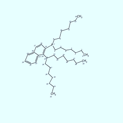 CCCCCCCP(CCCCCCC)c1ccc2ccccc2c1P(CCCCCCC)CCCCCCC